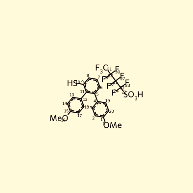 COc1ccc(-c2cccc(S)c2-c2ccc(OC)cc2)cc1.O=S(=O)(O)C(F)(F)C(F)(F)C(F)(F)C(F)(F)F